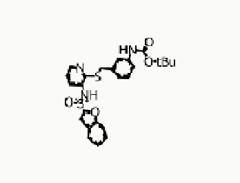 CC(C)(C)OC(=O)Nc1cccc(CSc2ncccc2N[S+]([O-])c2cc3ccccc3o2)c1